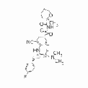 CN(C)C[C@H](F)[C@H](CSc1ccc(F)cc1)Nc1c(F)cc(S(=O)(=O)NC(=O)[C@@]2(C)CCCCO2)cc1C#N